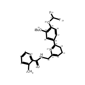 Cc1cccnc1C(=O)NCC1=CCCC(c2ccc(OC(F)F)c(OCC(C)C)c2)=N1